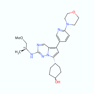 COC[C@H](C)Nc1ncc2c(-c3ccc(N4CCOCC4)nc3)cc([C@H]3CC[C@H](O)CC3)n2n1